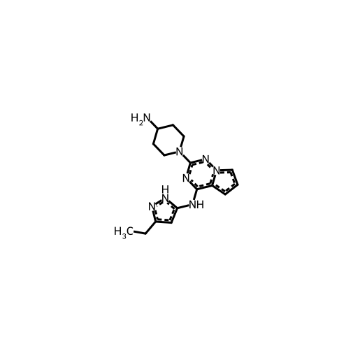 CCc1cc(Nc2nc(N3CCC(N)CC3)nn3cccc23)[nH]n1